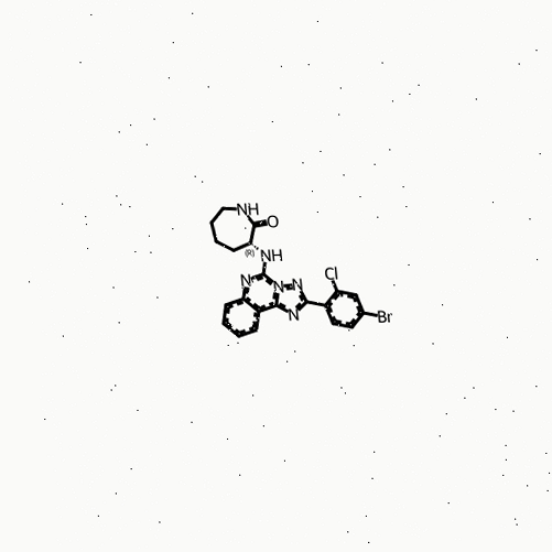 O=C1NCCCC[C@H]1Nc1nc2ccccc2c2nc(-c3ccc(Br)cc3Cl)nn12